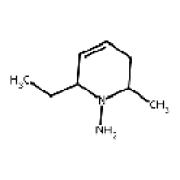 CCC1C=CCC(C)N1N